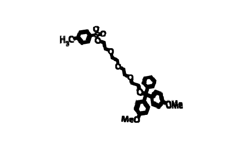 COc1ccc(C(OCCOCCOCCOCCOS(=O)(=O)c2ccc(C)cc2)(c2ccccc2)c2ccc(OC)cc2)cc1